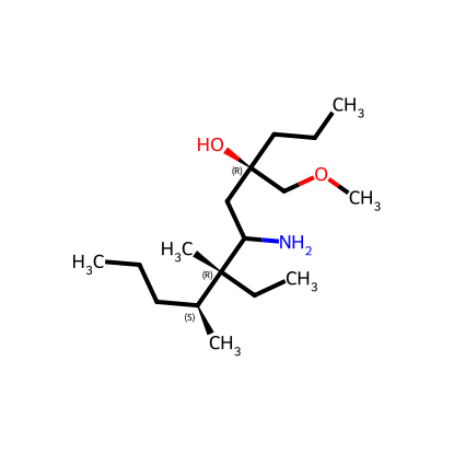 CCC[C@H](C)[C@@](C)(CC)C(N)C[C@](O)(CCC)COC